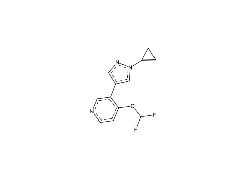 FC(F)Oc1ccncc1-c1cnn(C2CC2)c1